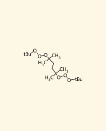 CC(C)(C)OOOC(C)(C)CCC(C)(C)OOOC(C)(C)C